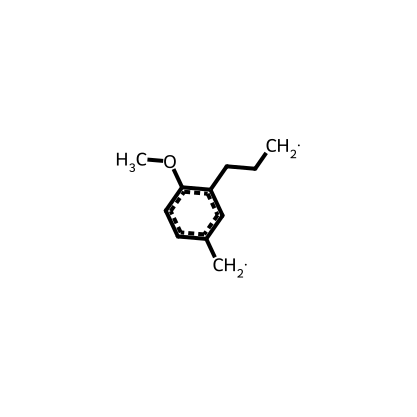 [CH2]CCc1cc([CH2])ccc1OC